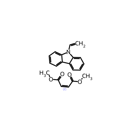 C=Cn1c2ccccc2c2ccccc21.COC(=O)/C=C\C(=O)OC